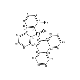 O=P(c1ccccc1F)(c1ccccc1F)c1cc2ccccc2c2ccccc12